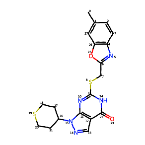 Cc1ccc2nc(CSc3nc4c(cnn4C4CCSCC4)c(=O)[nH]3)oc2c1